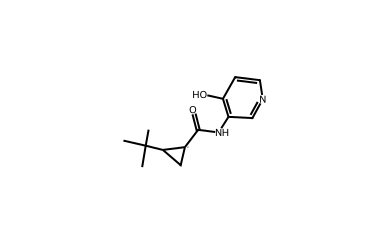 CC(C)(C)C1C[C]1C(=O)Nc1cnccc1O